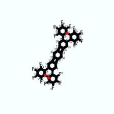 Fc1c(F)c(F)c(-c2cc3c(cc2-c2c(F)c(F)c(F)c(F)c2F)c2cc4c5cc(-c6c(F)c(F)c(F)c(F)c6F)c(-c6c(F)c(F)c(F)c(F)c6F)cc5c4cc32)c(F)c1F